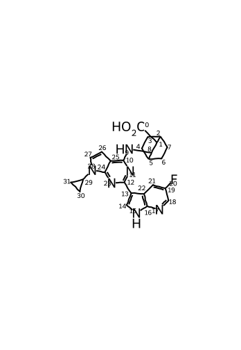 O=C(O)C1C2CCC(CC2)C1Nc1nc(-c2c[nH]c3ncc(F)cc23)nc2c1ccn2C1CC1